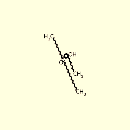 CCCCCCCCCCCCCCCCCC(=O)OCCCCCCCCCCCCC.CCCCCCCCCc1ccccc1O